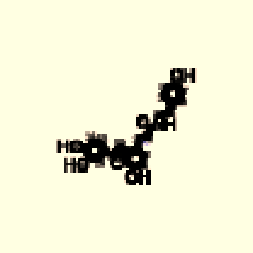 O=C(/C=C/c1ccc(O)c2oc(-c3ccc(O)c(O)c3)cc12)NCCc1ccc(O)cc1